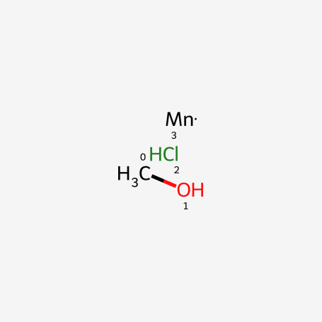 CO.Cl.[Mn]